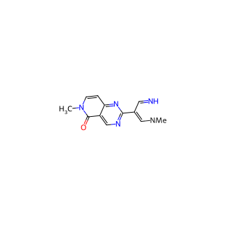 CN/C=C(\C=N)c1ncc2c(=O)n(C)ccc2n1